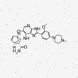 COc1cc(N2CCN(C)CC2)ccc1-c1nc2c(N[C@@H]3[C@H](C(N)=O)[C@H]4C=C[C@@H]3C4)c(Cl)cnc2[nH]1